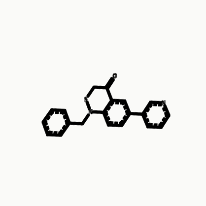 O=C1CSN(Cc2ccccc2)c2ccc(-c3cccnc3)cc21